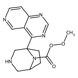 COOC(=O)N1C2CCC1(c1ncnc3ccncc13)CNC2